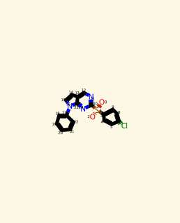 O=S(=O)(c1ccc(Cl)cc1)c1ncc2ccn(-c3ccccc3)c2n1